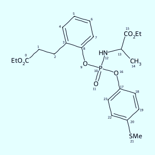 CCOC(=O)CCc1ccccc1OP(=O)(NC(C)C(=O)OCC)Oc1ccc(SC)cc1